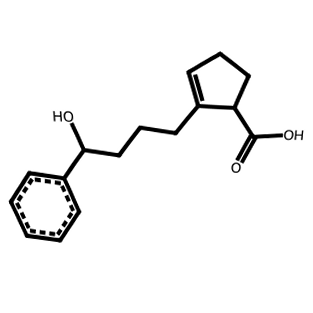 O=C(O)C1CCC=C1CCCC(O)c1ccccc1